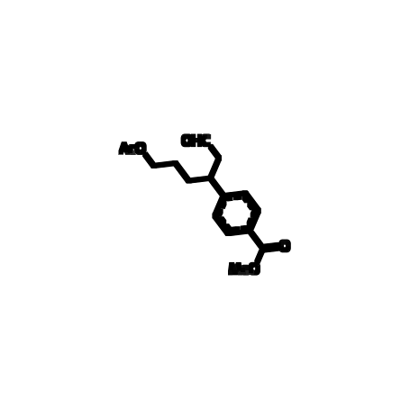 COC(=O)c1ccc(C(CC=O)CCCOC(C)=O)cc1